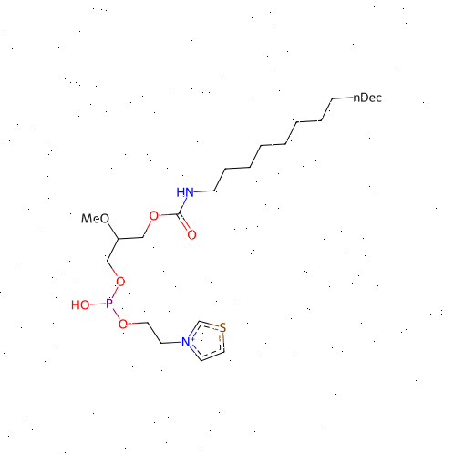 CCCCCCCCCCCCCCCCCCNC(=O)OCC(COP(O)OCC[n+]1ccsc1)OC